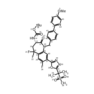 COc1ccc(-c2ccc(CN3C(=O)[C@@H](NC(=O)OC(C)(C)C)CC(F)(F)c4cc(F)c(-c5nnc(C(C)(C)S(C)(=O)=O)o5)cc43)cc2)nc1